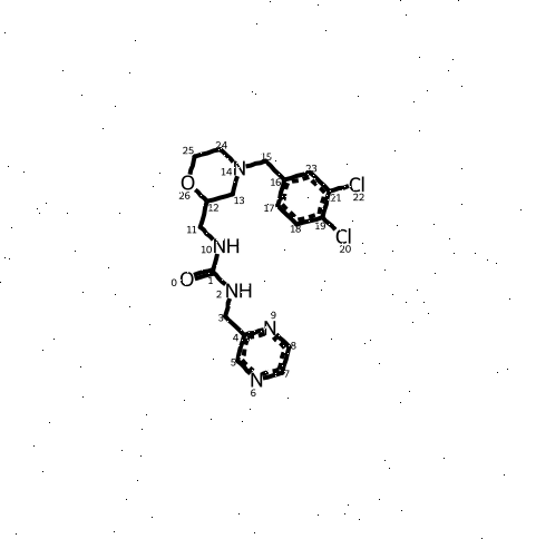 O=C(NCc1cnccn1)NCC1CN(Cc2ccc(Cl)c(Cl)c2)CCO1